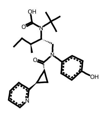 CC[C@H](C)[C@@H](CN(C(=O)[C@@H]1C[C@H]1c1ccccn1)c1ccc(O)cc1)N(C(=O)O)C(C)(C)C